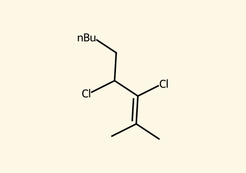 CCCCCC(Cl)C(Cl)=C(C)C